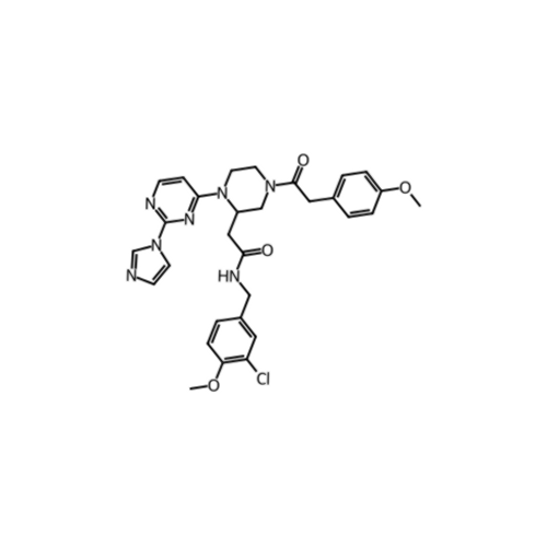 COc1ccc(CC(=O)N2CCN(c3ccnc(-n4ccnc4)n3)C(CC(=O)NCc3ccc(OC)c(Cl)c3)C2)cc1